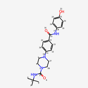 CC(C)(C)NC(=O)N1CCN(c2ccc(C(=O)Nc3ccc(O)cc3)cc2)CC1